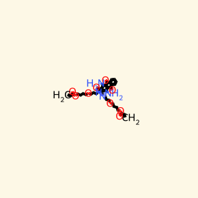 C=CC(=O)OCCCCOCCC/N=c1\c2c(N)c3c(=O)c4ccccc4c(=O)c3c(N)c2c(=O)n1CCCOCCCCOC(=O)C=C